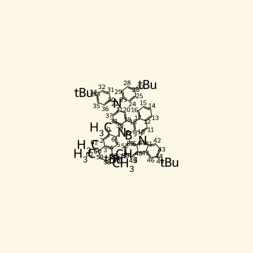 Cc1cc2c(cc1N1B3c4c(cc5ccccc5c4-c4cc(N(c5ccc(C(C)(C)C)cc5)c5ccc(C(C)(C)C)cc5)ccc41)-n1c4ccc(C(C)(C)C)cc4c4cc(C(C)(C)C)cc3c41)C(C)(C)CCC2(C)C